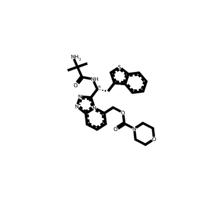 CC(C)(N)C(=O)N[C@H](Cc1csc2ccccc12)c1nnc2cccc(COC(=O)N3CCOCC3)n12